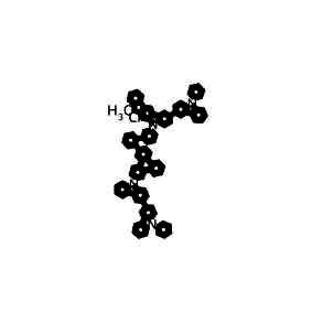 CC1(C)c2ccccc2-c2cc3c4cc(-c5ccc6c(c5)c5ccccc5n6-c5ccccc5)ccc4n(-c4cccc(-c5ccccc5-c5ccc6c7ccccc7c7cc(-n8c9ccccc9c9cc(-c%10ccc%11c(c%10)c%10ccccc%10n%11-c%10ccccc%10)ccc98)ccc7c6c5)c4)c3cc21